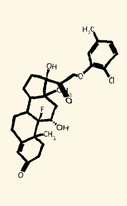 Cc1ccc(Cl)c(OCC(=O)[C@@]2(O)CCC3C4CCC5=CC(=O)CCC5(C)[C@@]4(F)[C@@H](O)CC32C)c1